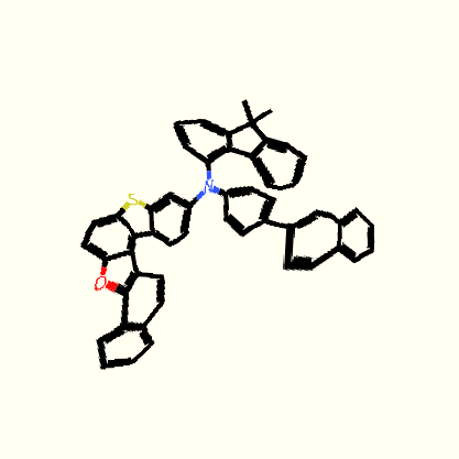 CC1(C)c2ccccc2-c2c(N(c3ccc(-c4ccc5ccccc5c4)cc3)c3ccc4c(c3)sc3ccc5oc6c7ccccc7ccc6c5c34)cccc21